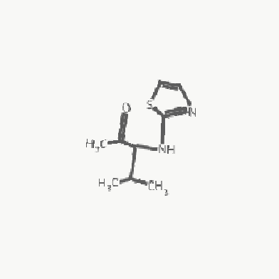 CC(=O)C(Nc1nccs1)C(C)C